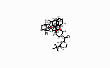 CC[C@H](NC(=O)C(C)(C)C)C(=O)N1CCC(CCN2[C@@H]3CC[C@H]2C[C@@H](n2c(C)nc4ccccc42)C3)(c2cccc(F)c2)CC1